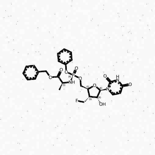 C[C@H](N[P@@](=O)(OC[C@H]1O[C@@H](n2ccc(=O)[nH]c2=O)[C@H](O)[C@@H]1CF)Oc1ccccc1)C(=O)OCc1ccccc1